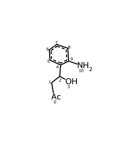 CC(=O)CC(O)c1ccccc1N